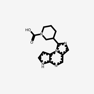 O=C(O)N1CCCC(c2ncc3cnc4[nH]ccc4n23)C1